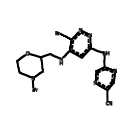 CC(C)N1CCOC(CNc2cc(Nc3cnc(C#N)cn3)nnc2Br)C1